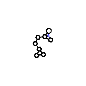 C1=Cc2c(n3c4ccccc4c4cc(-c5cccc(-c6cccc(-c7ccc8c9ccccc9c9ccccc9c8c7)c6)c5)cc2c43)CCC1